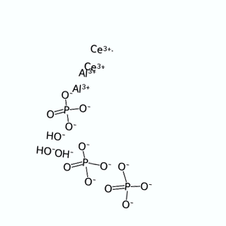 O=P([O-])([O-])[O-].O=P([O-])([O-])[O-].O=P([O-])([O-])[O-].[Al+3].[Al+3].[Ce+3].[Ce+3].[OH-].[OH-].[OH-]